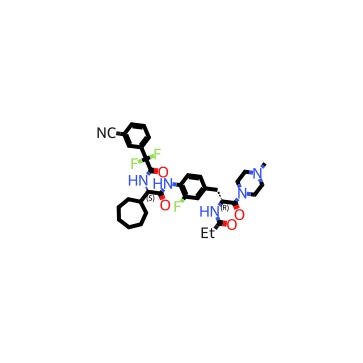 CCC(=O)N[C@H](Cc1ccc(NC(=O)[C@@H](NC(=O)C(F)(F)c2cccc(C#N)c2)C2CCCCCC2)c(F)c1)C(=O)N1CCN(C)CC1